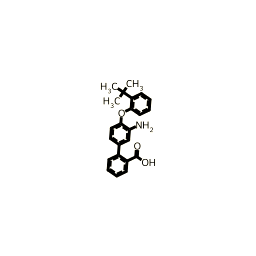 CC(C)(C)c1ccccc1Oc1ccc(-c2ccccc2C(=O)O)cc1N